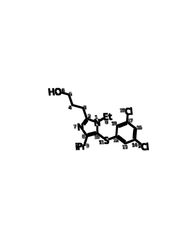 CCn1c(CCCO)nc(C(C)C)c1Sc1cc(Cl)cc(Cl)c1